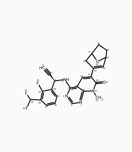 C#C[C@@H](Nc1ncnc2c1cc(C1=CC3CCC(C1)O3)c(=O)n2C)c1cccc(C(F)F)c1F